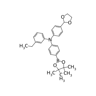 CCc1cccc(N(c2ccc(B3OC(C)(C)C(C)(C)O3)cc2)c2ccc(C3OCCO3)cc2)c1